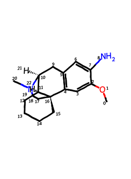 COc1cc2c(cc1N)C[C@H]1[C@@H]3CCCC[C@]23CCN1C